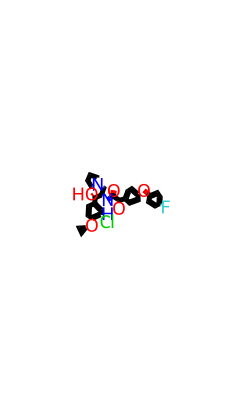 O=C(NC(CN1CCCC1)[C@H](O)c1ccc(OC2CC2)c(Cl)c1)C(=O)c1ccc(Oc2ccc(F)cc2)cc1